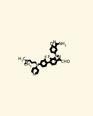 CN(C)CCCN(c1ccncc1)c1ccc(-c2ccc3c(C=O)nn(-c4ccc5onc(N)c5c4)c3c2F)c(F)c1